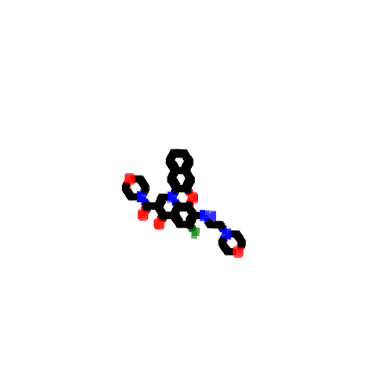 O=C(c1cn2c3c(c(NCCN4CCOCC4)c(F)cc3c1=O)Oc1cc3ccccc3cc1-2)N1CCOCC1